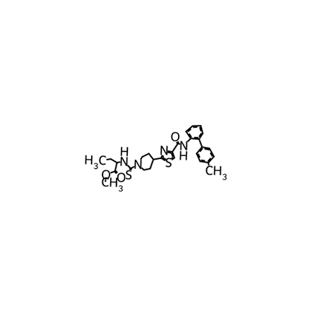 CCC(NC(=S)N1CCC(c2nc(C(=O)Nc3ccccc3-c3ccc(C)cc3)cs2)CC1)C(=O)OC